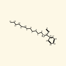 C=CC(OCCCCCCCCCCCC)c1ccccc1